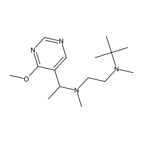 COc1ncncc1C(C)N(C)CCN(C)C(C)(C)C